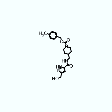 Cc1ccc(COC(=O)N2CCC(CNC(=O)c3cc(CO)n[nH]3)CC2)cc1